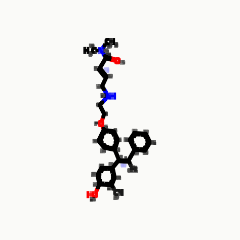 CC/C(=C(/c1ccc(OCCNC/C=C/C(=O)N(C)C)cc1)c1ccc(O)c(C#N)c1)c1ccccc1